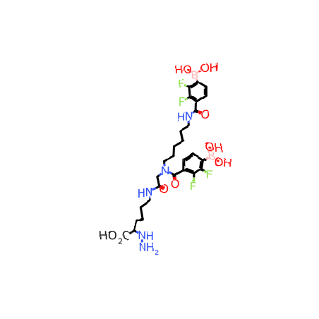 NNC(CCCCNC(=O)CN(CCCCCCNC(=O)c1ccc(B(O)O)c(F)c1F)C(=O)c1ccc(B(O)O)c(F)c1F)C(=O)O